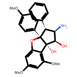 COc1ccc([C@@]23Oc4cc(OC)cc(OC)c4[C@]2(O)[C@H](O)[C@H](N)[C@H]3c2ccccc2)cc1